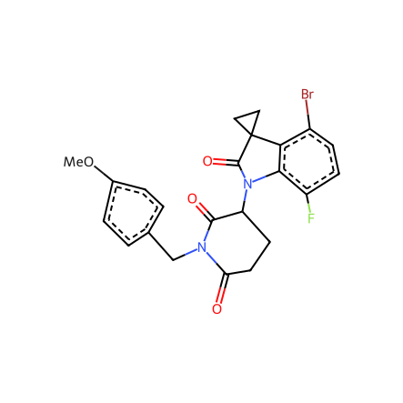 COc1ccc(CN2C(=O)CCC(N3C(=O)C4(CC4)c4c(Br)ccc(F)c43)C2=O)cc1